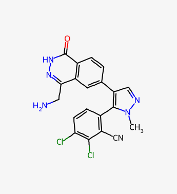 Cn1ncc(-c2ccc3c(=O)[nH]nc(CN)c3c2)c1-c1ccc(Cl)c(Cl)c1C#N